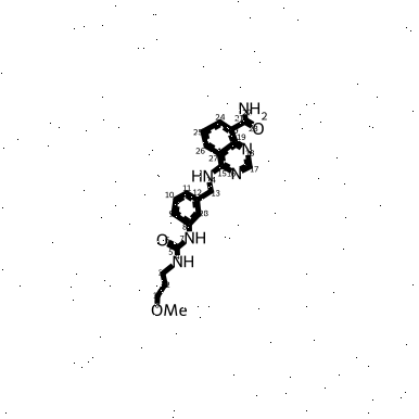 COCCCNC(=O)Nc1cccc(CNc2ncnc3c(C(N)=O)cccc23)c1